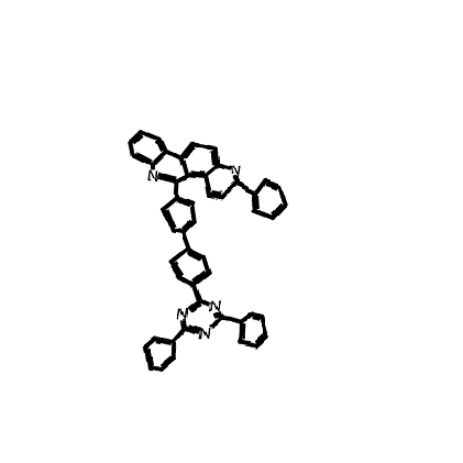 c1ccc(-c2ccc3c(ccc4c5ccccc5nc(-c5ccc(-c6ccc(-c7nc(-c8ccccc8)nc(-c8ccccc8)n7)cc6)cc5)c34)n2)cc1